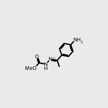 COC(=O)N/N=C(\C)c1ccc(N)cc1